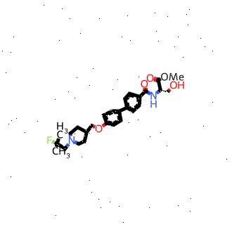 COC(=O)[C@H](CO)NC(=O)c1ccc(-c2ccc(OCC3CCN(CC(C)(C)F)CC3)cc2)cc1